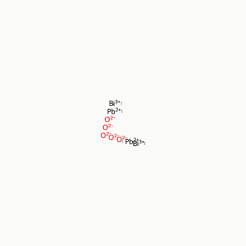 [Bi+3].[Bi+3].[O-2].[O-2].[O-2].[O-2].[O-2].[Pb+2].[Pb+2]